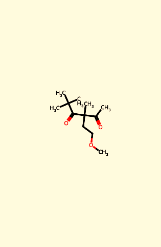 COCCC(C)(C(C)=O)C(=O)C(C)(C)C